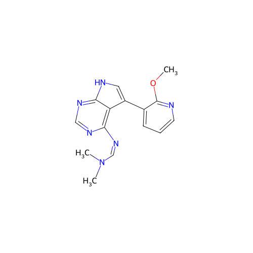 COc1ncccc1-c1c[nH]c2ncnc(/N=C\N(C)C)c12